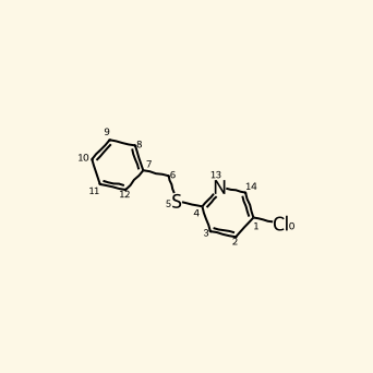 Clc1ccc(SCc2ccccc2)nc1